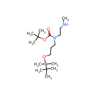 CNCCN(CCCO[Si](C)(C)C(C)(C)C)C(=O)OC(C)(C)C